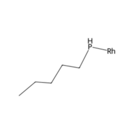 CCCCC[PH][Rh]